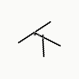 CCCCCCCCCCCCCCCCCCN(CCCCCCCCCCCCCCCCCC)C(=O)CCSSCCC(=O)N(CCCCCCCCCCCCCCCCCC)CCCCCCCCCCCCCCCCCC